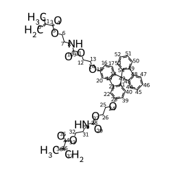 C=C(C)C(=O)OCCNC(=O)OCCOc1ccc2c(c1)-c1cc(OCCOC(=O)NCCOC(=O)C(=C)C)ccc1C21c2ccccc2-c2ccccc21